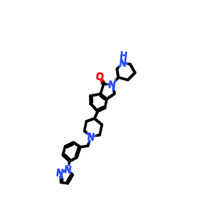 O=C1c2ccc(C3CCN(Cc4cccc(-n5cccn5)c4)CC3)cc2CN1C1CCCNC1